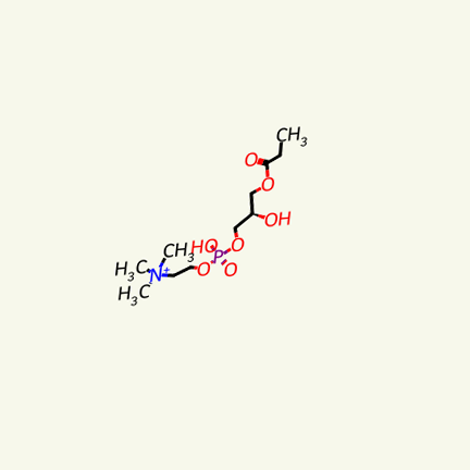 CCC(=O)OC[C@@H](O)COP(=O)(O)OCC[N+](C)(C)C